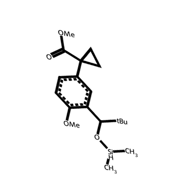 COC(=O)C1(c2ccc(OC)c(C(O[SiH](C)C)C(C)(C)C)c2)CC1